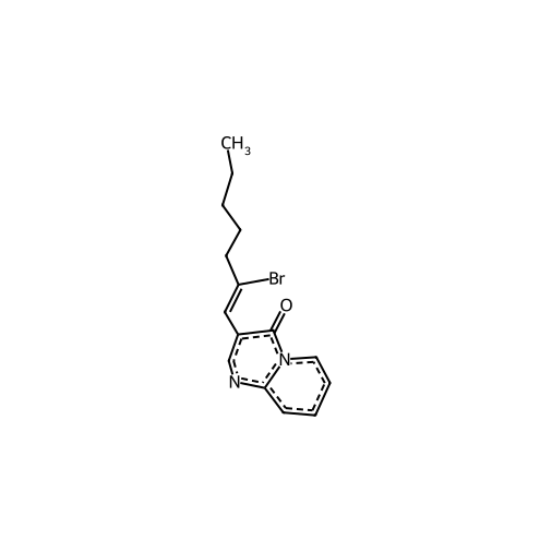 CCCCCC(Br)=Cc1cnc2ccccn2c1=O